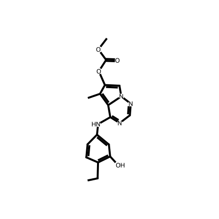 CCc1ccc(Nc2ncnn3cc(OC(=O)OC)c(C)c23)cc1O